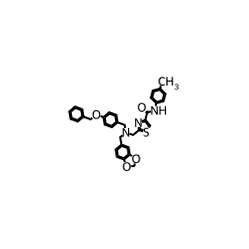 Cc1ccc(NC(=O)c2csc(CN(Cc3ccc(OCc4ccccc4)cc3)Cc3ccc4c(c3)OCO4)n2)cc1